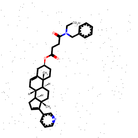 C[C@]12CC[C@H](OC(=O)CCC(=O)N(CC(=O)O)Cc3ccccc3)CC1=CC[C@@H]1[C@@H]2CC[C@]2(C)C(c3cccnc3)=CC[C@@H]12